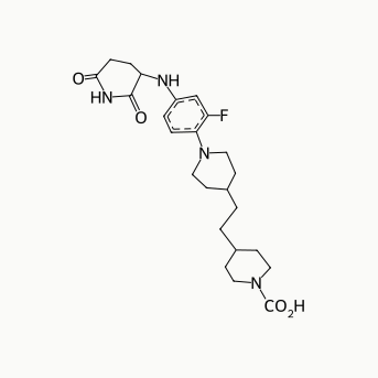 O=C1CCC(Nc2ccc(N3CCC(CCC4CCN(C(=O)O)CC4)CC3)c(F)c2)C(=O)N1